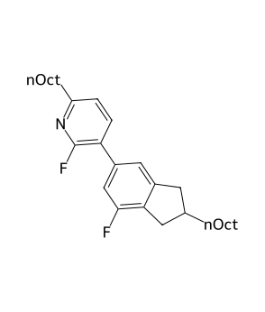 CCCCCCCCc1ccc(-c2cc(F)c3c(c2)CC(CCCCCCCC)C3)c(F)n1